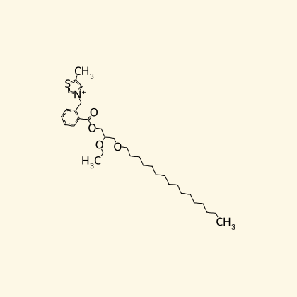 CCCCCCCCCCCCCCCCOCC(COC(=O)c1ccccc1C[n+]1csc(C)c1)OCC